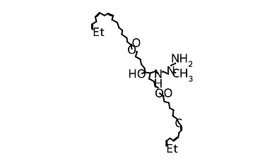 CC/C=C\C/C=C\C/C=C\CCCCCCCC(=O)OCCCCCC(O)C(CCCCOC(=O)CCCCCCC/C=C\C/C=C\C/C=C\CC)CNCCN(C)CCN